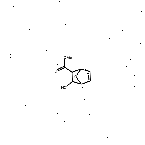 COC(=O)C1C2C=CC(O2)C1C#N